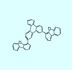 c1ccc2c(c1)oc1c(-c3ccc4c5ccccc5c5ccc(-c6cccc7c6oc6ccccc67)cc5c4c3)cccc12